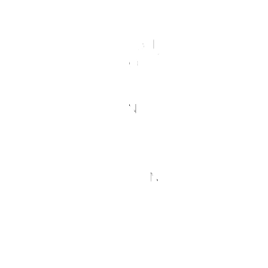 BOc1ccc2c(n1)CN(Cc1ccccc1)CC2